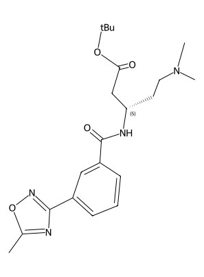 Cc1nc(-c2cccc(C(=O)N[C@@H](CCN(C)C)CC(=O)OC(C)(C)C)c2)no1